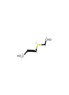 O=[C]CSC=CC(=O)O